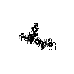 COC(=O)C(CNc1c(O)c(=O)c1=O)Nc1ccc(Nc2nc(NC3(c4ccc(Cl)cc4)CC3)nc(OCC(F)(F)F)n2)cc1